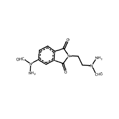 NN(C=O)CCN1C(=O)c2ccc(N(N)C=O)cc2C1=O